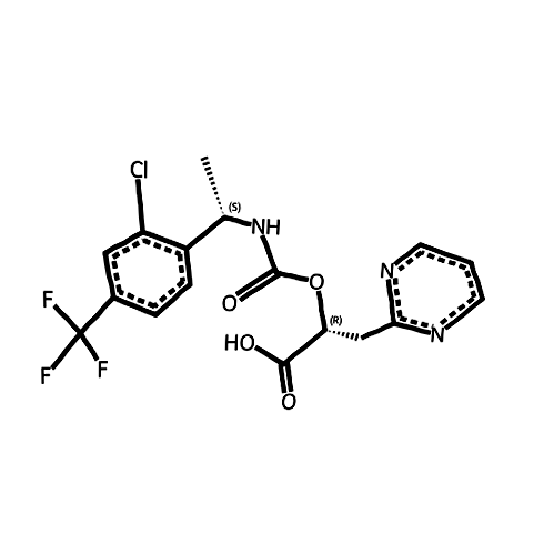 C[C@H](NC(=O)O[C@H](Cc1ncccn1)C(=O)O)c1ccc(C(F)(F)F)cc1Cl